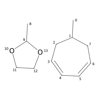 CC1CC=CC=CC1.CC1OCCO1